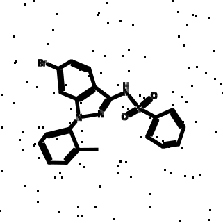 Cc1ccccc1-n1nc(NS(=O)(=O)c2ccccc2)c2ccc(Br)cc21